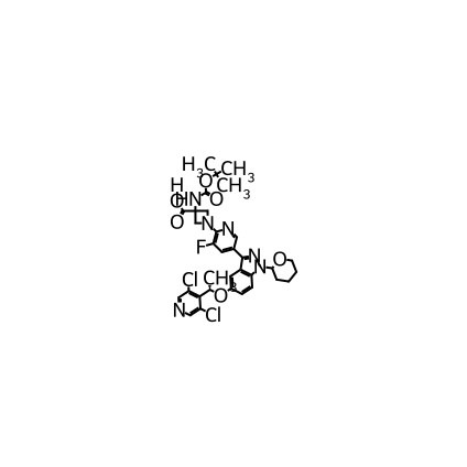 C[C@@H](Oc1ccc2c(c1)c(-c1cnc(N3CC(NC(=O)OC(C)(C)C)(C(=O)O)C3)c(F)c1)nn2C1CCCCO1)c1c(Cl)cncc1Cl